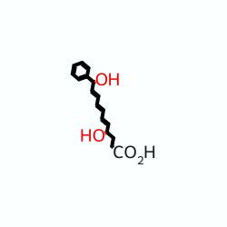 O=C(O)CCC(O)C=CC=CC=CC(O)c1ccccc1